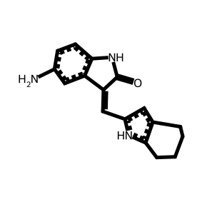 Nc1ccc2c(c1)/C(=C/c1cc3c([nH]1)CCCC3)C(=O)N2